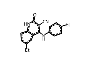 CCc1ccc(Nc2c(C#N)c(=O)[nH]c3ccc(CC)cc23)cc1